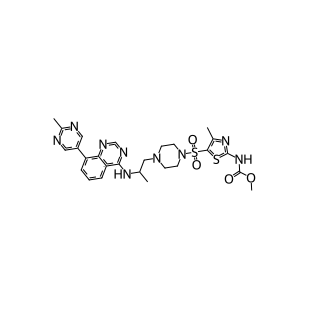 COC(=O)Nc1nc(C)c(S(=O)(=O)N2CCN(CC(C)Nc3ncnc4c(-c5cnc(C)nc5)cccc34)CC2)s1